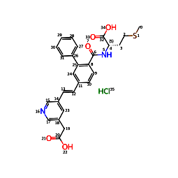 CSCC[C@H](NC(=O)c1ccc(C=Cc2cncc(CC(=O)O)c2)cc1-c1ccccc1)C(=O)O.Cl